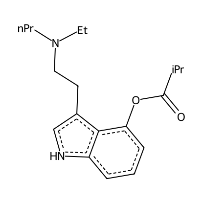 CCCN(CC)CCc1c[nH]c2cccc(OC(=O)C(C)C)c12